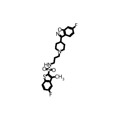 Cc1c(S(=O)(=O)NCCCN2CCC(c3noc4cc(F)ccc34)CC2)sc2ccc(F)cc12